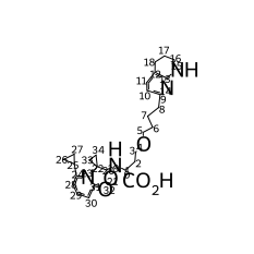 O=C(O)C(CCOCCCCc1ccc2c(n1)NCCC2)NC(=O)C1(n2c(C3CC3)cccc2=O)CC1